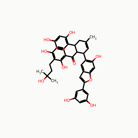 CC1=CC(c2cc3cc(-c4cc(O)cc(O)c4)oc3cc2O)C(C(=O)c2ccc(O)c(CCC(C)(C)O)c2O)C(c2ccc(O)cc2O)C1